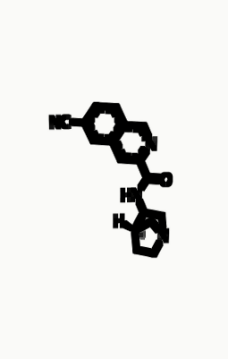 N#Cc1ccc2cnc(C(=O)NC3CN4CC[C@H]3C4)cc2c1